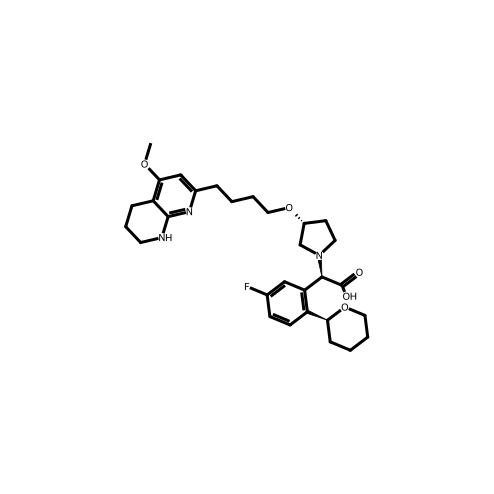 COc1cc(CCCCO[C@@H]2CCN([C@@H](C(=O)O)c3cc(F)ccc3[C@@H]3CCCCO3)C2)nc2c1CCCN2